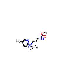 CN(CCCNC(=O)OC(C)(C)C)c1ccc(C#N)cn1